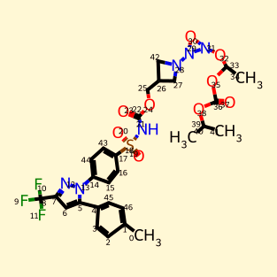 Cc1ccc(-c2cc(C(F)(F)F)nn2-c2ccc(S(=O)(=O)NC(=O)OCC3CN(n4on4OC(C)OC(=O)OC(C)C)C3)cc2)cc1